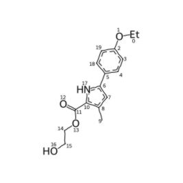 CCOc1ccc(-c2cc(C)c(C(=O)OCCO)[nH]2)cc1